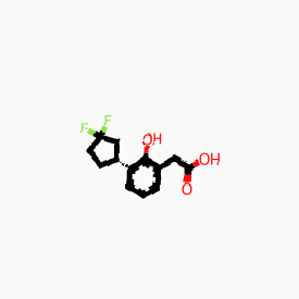 O=C(O)Cc1cccc([C@@H]2CCC(F)(F)C2)c1O